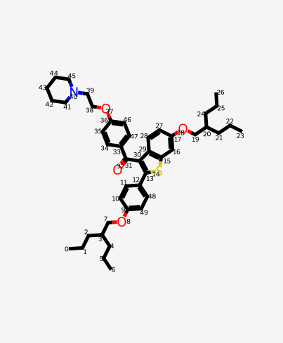 CCCC(CCC)COc1ccc(-c2sc3cc(OCC(CCC)CCC)ccc3c2C(=O)c2ccc(OCCN3CCCCC3)cc2)cc1